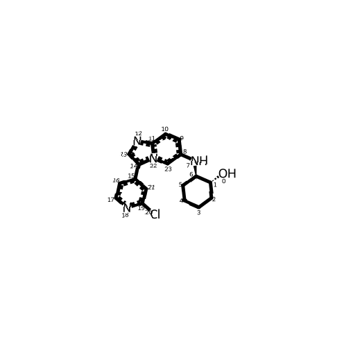 O[C@@H]1CCCC[C@H]1Nc1ccc2ncc(-c3ccnc(Cl)c3)n2c1